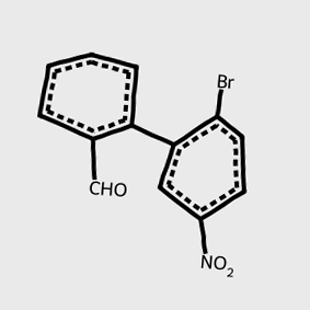 O=Cc1ccccc1-c1cc([N+](=O)[O-])ccc1Br